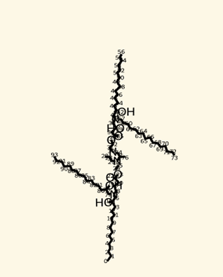 CCCCCCCCCCCCCCC(O)CN(CCCC(=O)OCCN1CC(C)N(CCOC(=O)CCCN(CC(O)CCCCCCCCCCCCCC)CC(O)CCCCCCCCCCCCCC)CC1C)CC(O)CCCCCCCCCCCCCC